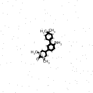 CN1CC(c2ccc(N)c(C3=CCC(C)(C)CC3)c2)CN(C)C1=O